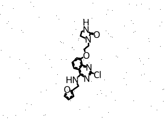 O=C1NCCN1CCOc1cccc2c(NCc3ccco3)nc(Cl)nc12